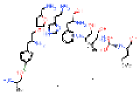 CC(C)C(N)CO.CC(C)C[C@@H](N)CO.CCC(C)[C@H](N)CO.CCC(O)O.CSCC[C@H](N)CO.NCC1CCCO1.NCCc1c[nH]cn1.N[C@H](CO)Cc1ccc(Cl)cc1.N[C@H](CO)Cc1ccccc1